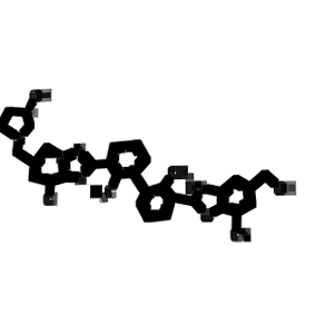 Cc1c(-c2nc3c(Cl)cc(CN4CC[C@@H](O)C4)cn3n2)cccc1-c1cccc(C2Nc3cc(CO)cc(C#N)c3O2)c1C